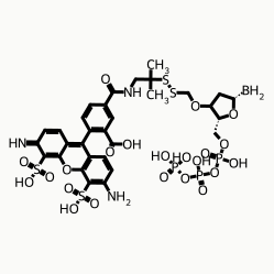 B[C@H]1CC(OCSSC(C)(C)CNC(=O)c2ccc(-c3c4ccc(=N)c(S(=O)(=O)O)c-4oc4c(S(=O)(=O)O)c(N)ccc34)c(C(=O)O)c2)[C@@H](COP(=O)(O)OP(=O)(O)OP(=O)(O)O)O1